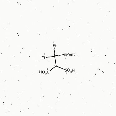 CCCCCC(CC)(CC)C(C(=O)O)S(=O)(=O)O